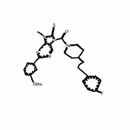 COc1cccc(-c2ncc3c(n2)n(C)c(=O)n3C(=O)N2CCC(CCc3ccc(F)cc3)CC2)c1